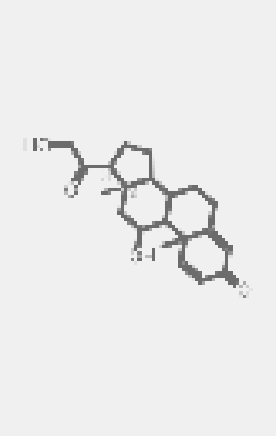 CC12C=CC(=O)C=C1CCC1C2C(O)C[C@@]2(C)C1CC[C@@H]2C(=O)CO